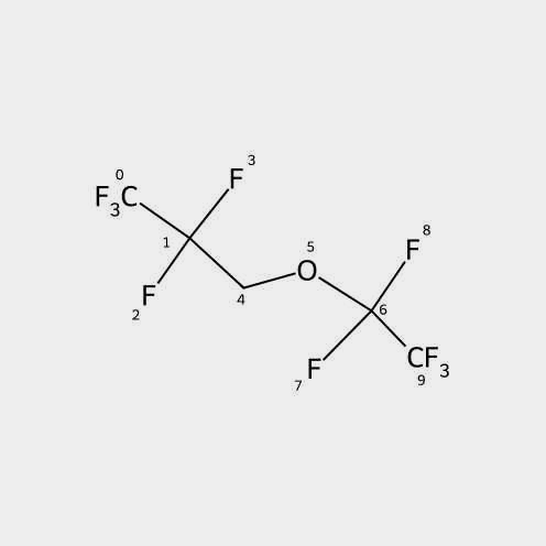 FC(F)(F)C(F)(F)COC(F)(F)C(F)(F)F